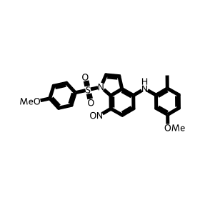 COc1ccc(S(=O)(=O)n2ccc3c(Nc4cc(OC)ccc4C)ccc(N=O)c32)cc1